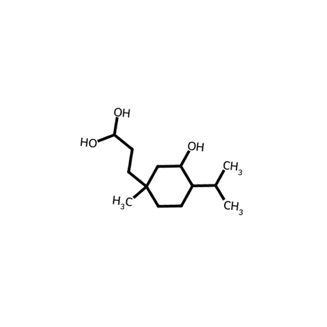 CC(C)C1CCC(C)(CCC(O)O)CC1O